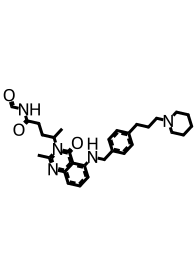 Cc1nc2cccc(NCc3ccc(CCCN4CCCCC4)cc3)c2c(=O)n1C(C)CCC(=O)NC=O